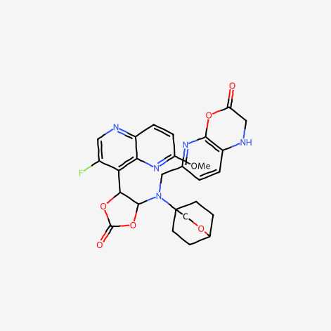 COc1ccc2ncc(F)c(C3OC(=O)OC3N(Cc3ccc4c(n3)OC(=O)CN4)C34CCC(CC3)OC4)c2n1